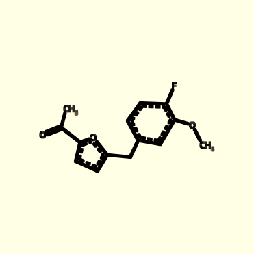 COc1cc(Cc2ccc(C(C)=O)o2)ccc1F